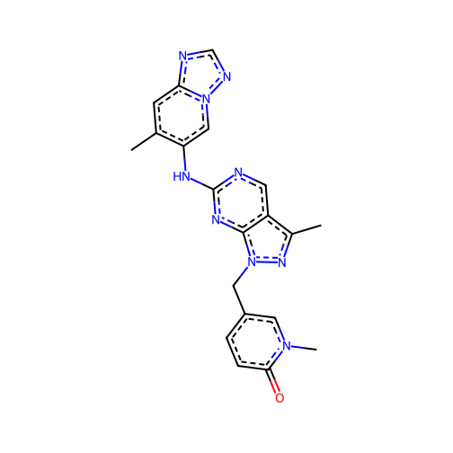 Cc1cc2ncnn2cc1Nc1ncc2c(C)nn(Cc3ccc(=O)n(C)c3)c2n1